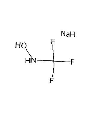 ONC(F)(F)F.[NaH]